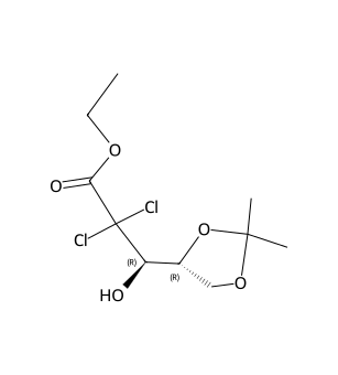 CCOC(=O)C(Cl)(Cl)[C@H](O)[C@H]1COC(C)(C)O1